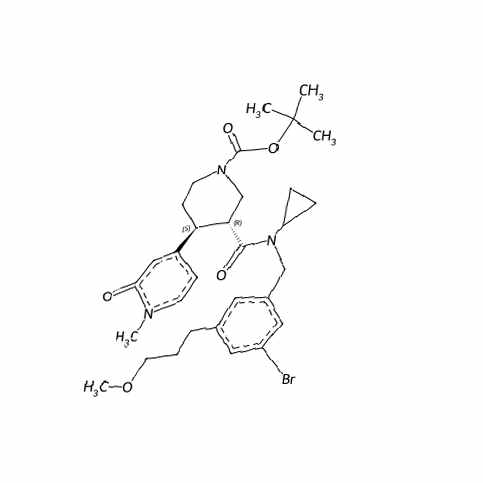 COCCCc1cc(Br)cc(CN(C(=O)[C@H]2CN(C(=O)OC(C)(C)C)CC[C@@H]2c2ccn(C)c(=O)c2)C2CC2)c1